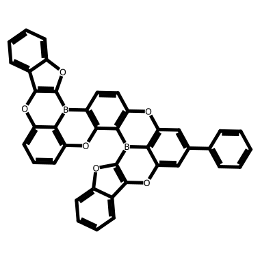 c1ccc(-c2cc3c4c(c2)Oc2c(oc5ccccc25)B4c2c(ccc4c2Oc2cccc5c2B4c2oc4ccccc4c2O5)O3)cc1